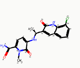 C[C@H](Nc1ccc(C(N)=O)n(C)c1=O)c1cc2cccc(Cl)c2[nH]c1=O